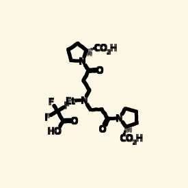 CCN(CCC(=O)N1CCC[C@@H]1C(=O)O)CCC(=O)N1CCC[C@@H]1C(=O)O.O=C(O)C(F)(F)F